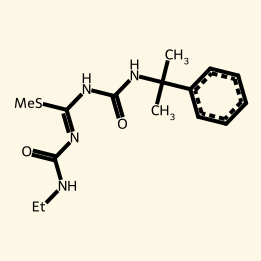 CCNC(=O)N=C(NC(=O)NC(C)(C)c1ccccc1)SC